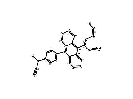 C#CC(C)c1ccc(-c2c3ccccc3c(/C(C=N)=C/C=C\C)c3ccccc23)cc1